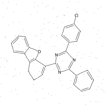 Clc1ccc(-c2nc(C3=CCCc4c3oc3ccccc43)nc(-c3ccccc3)n2)cc1